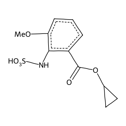 COc1cccc(C(=O)OC2CC2)c1NS(=O)(=O)O